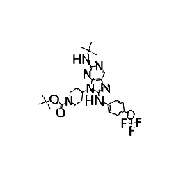 CC(C)(C)Nc1ncc2nc(Nc3ccc(OC(F)(F)F)cc3)n(C3CCN(C(=O)OC(C)(C)C)CC3)c2n1